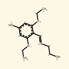 CCOc1cc(O)cc(OCC)c1C=NCCO